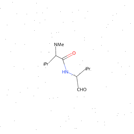 CNC(C(=O)NC(C=O)C(C)C)C(C)C